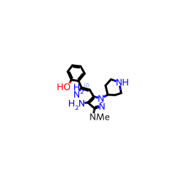 CNc1nn(C2CCNCC2)c(/C=C(\N)c2ccccc2O)c1N